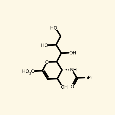 CCCC(=O)N[C@@H]1C(O)C=C(C(=O)O)OC1C(O)C(O)CO